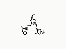 CCN1CC(CC[C@@H]2COCC2C)[C@H](CC[C@H]2CN(C)CC2C)C1